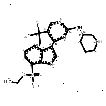 CCOP(C)(=O)c1cccc2c(-c3nc(N[C@H]4CCCNC4)ncc3C(F)(F)F)c[nH]c12